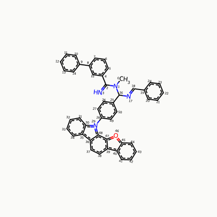 CN(C(=N)c1cccc(-c2ccccc2)c1)C(/N=C/c1ccccc1)c1ccc(-n2c3ccccc3c3ccc4c5ccccc5oc4c32)cc1